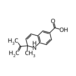 C=C(C)C1(C)C=Cc2cc(C(=O)O)ccc2N1